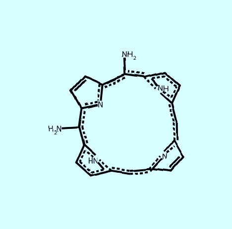 Nc1c2nc(c(N)c3ccc(cc4nc(cc5ccc1[nH]5)C=C4)[nH]3)C=C2